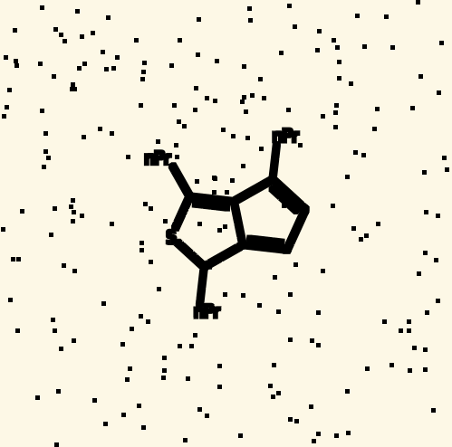 CCC[C]1SC(CCC)=C2C(CCC)=CC=C12